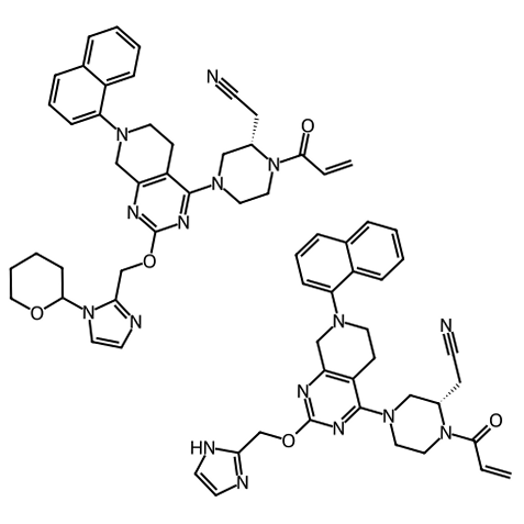 C=CC(=O)N1CCN(c2nc(OCc3ncc[nH]3)nc3c2CCN(c2cccc4ccccc24)C3)C[C@@H]1CC#N.C=CC(=O)N1CCN(c2nc(OCc3nccn3C3CCCCO3)nc3c2CCN(c2cccc4ccccc24)C3)C[C@@H]1CC#N